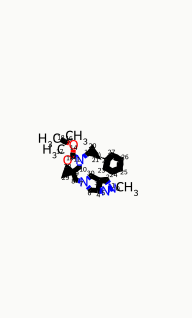 Cn1cc2c(n1)CN(CC1(CN(C(=O)OC(C)(C)C)C3C[C@@H]3c3ccccc3)CC1)C2